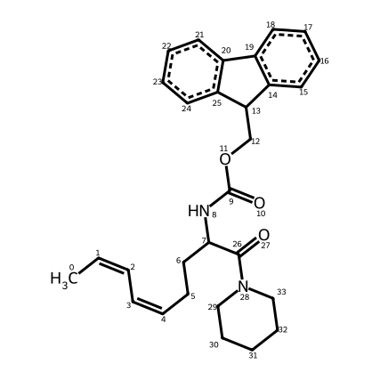 C/C=C\C=C/CCC(NC(=O)OCC1c2ccccc2-c2ccccc21)C(=O)N1CCCCC1